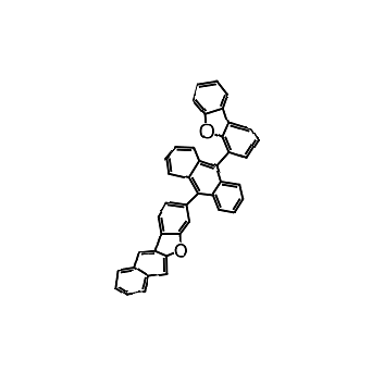 c1ccc2cc3c(cc2c1)oc1cc(-c2c4ccccc4c(-c4cccc5c4oc4ccccc45)c4ccccc24)ccc13